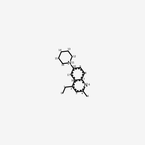 CCc1cc(C)nc2ccc(N3CCCCC3)cc12